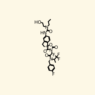 CCCN(CCO)C(=O)Nc1ccc2c(c1)CC[C@@]21OC(=O)N(CC(=O)N(Cc2ccc(F)cc2)C(C)C(F)(F)F)C1=O